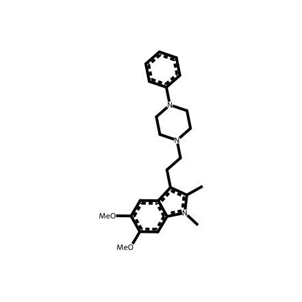 COc1cc2c(CCN3CCN(c4ccccc4)CC3)c(C)n(C)c2cc1OC